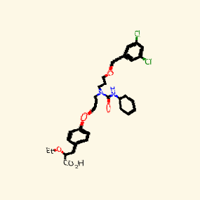 CCOC(Cc1ccc(OCCN(CCCOCc2cc(Cl)cc(Cl)c2)C(=O)NC2CCCCC2)cc1)C(=O)O